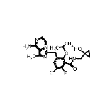 Cc1nc(Cc2cc(Cl)c(F)c(C(=O)NCC3(O)CC3)c2OC(C)C)n2ccnc(N)c12